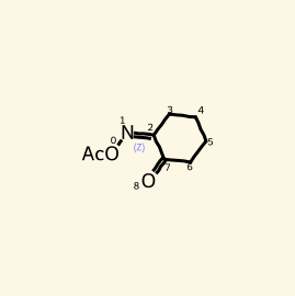 CC(=O)O/N=C1/CCCCC1=O